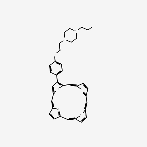 OCCN1CCN(CCOc2ccc(-c3cc4cc5nc(cc6ccc(cc7nc(cc3[nH]4)C=C7)[nH]6)C=C5)cc2)CC1